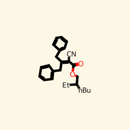 CCCCC(CC)COC(=O)C(C#N)=C(Cc1ccccc1)Cc1ccccc1